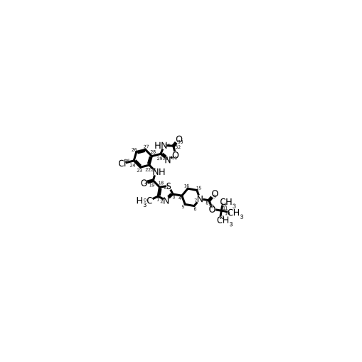 Cc1nc(C2CCN(C(=O)OC(C)(C)C)CC2)sc1C(=O)Nc1cc(Cl)ccc1-c1noc(=O)[nH]1